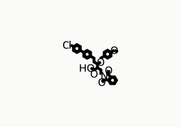 COc1ccc(COC(CCc2ccc(-c3ccc(Cl)cc3)cc2)C(CCN2C(=O)c3ccccc3C2=O)C(=O)O)cc1